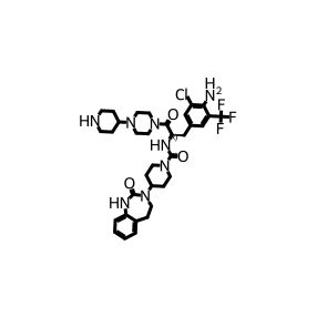 Nc1c(Cl)cc(C[C@@H](NC(=O)N2CCC(N3CCc4ccccc4NC3=O)CC2)C(=O)N2CCN(C3CCNCC3)CC2)cc1C(F)(F)F